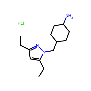 CCc1cc(CC)n(CC2CCC(N)CC2)n1.Cl